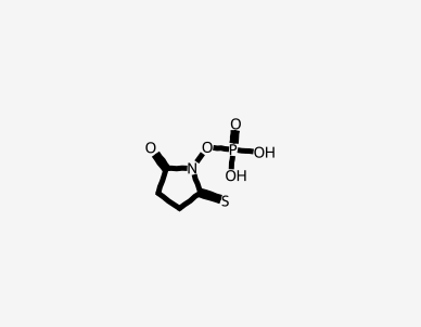 O=C1CCC(=S)N1OP(=O)(O)O